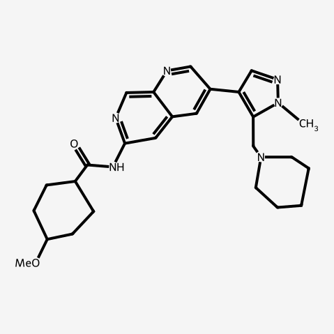 COC1CCC(C(=O)Nc2cc3cc(-c4cnn(C)c4CN4CCCCC4)cnc3cn2)CC1